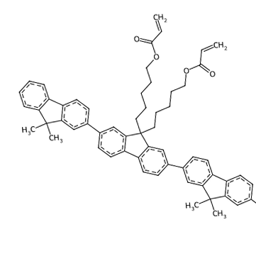 C=CC(=O)OCCCCCC1(CCCCCOC(=O)C=C)c2cc(-c3ccc4c(c3)C(C)(C)c3ccccc3-4)ccc2-c2ccc(-c3ccc4c(c3)C(C)(C)c3cc(I)ccc3-4)cc21